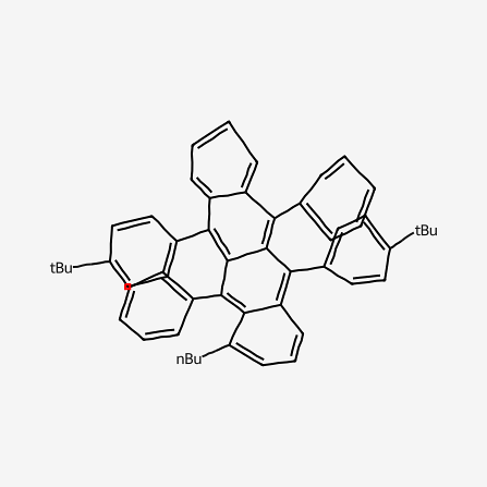 CCCCc1cccc2c(-c3ccc(C(C)(C)C)cc3)c3c(-c4ccccc4)c4ccccc4c(-c4ccc(C(C)(C)C)cc4)c3c(-c3ccccc3)c12